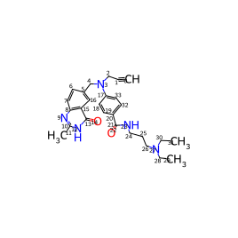 C#CCN(Cc1ccc2nc(C)[nH]c(=O)c2c1)c1ccc(C(=O)NCCCN(CC)CC)cc1